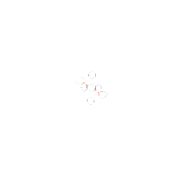 CN1C(F)=C(F)C(c2cc(C(F)(F)F)ccc2-c2c3ncoc3c(-c3ccc(C(F)(F)F)cc3-c3c(F)c(F)nc(F)c3F)c3ncoc23)=C(F)C1F